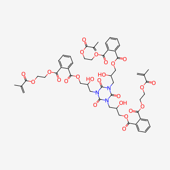 C=C(C)C(=O)OCCOC(=O)c1ccccc1C(=O)OCC(O)Cn1c(=O)n(CC(O)COC(=O)c2ccccc2C(=O)OCCOC(=O)C(=C)C)c(=O)n(CC(O)COC(=O)c2ccccc2C(=O)OCCOC(=O)C(=C)C)c1=O